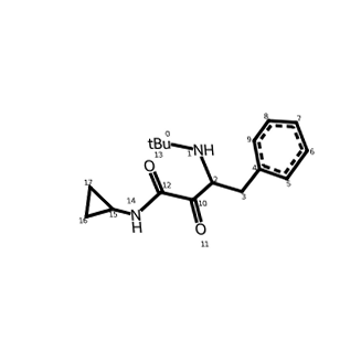 CC(C)(C)NC(Cc1ccccc1)C(=O)C(=O)NC1CC1